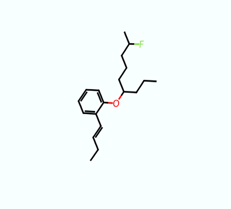 CCC=Cc1ccccc1OC(CCC)CCCC(C)F